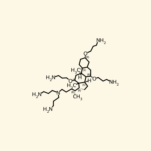 C[C@H](CCCN(CCCN)CCCN)[C@H]1CC[C@H]2C3[C@H](OCCCN)CC4C[C@H](OCCCN)CC[C@]4(C)[C@H]3C[C@H](OCCCN)C12C